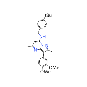 COc1ccc(-c2c(C)nn3c(NCc4ccc(C(C)(C)C)cc4)cc(C)nc23)cc1OC